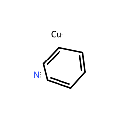 [Cu].[N].c1ccccc1